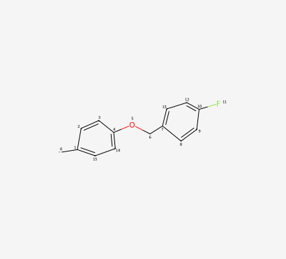 [CH2]c1ccc(OCc2ccc(F)cc2)cc1